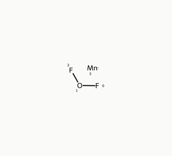 FOF.[Mn]